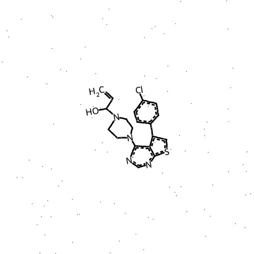 C=CC(O)N1CCN(c2ncnc3scc(-c4ccc(Cl)cc4)c23)CC1